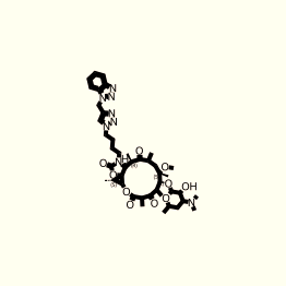 CO[C@@]1(C)CC(C)C(=O)[C@H](C)[C@H]2N(CCCCn3cc(Cn4nnc5ccccc54)nn3)C(=O)OC23C(OC(=O)C(C)C(=O)C(C)[C@H]1OC1OC(C)CC(N(C)C)C1O)[C@@H]3C